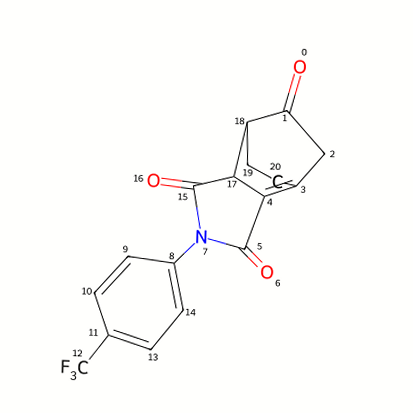 O=C1CC2=C3C(=O)N(c4ccc(C(F)(F)F)cc4)C(=O)C3C1CC2